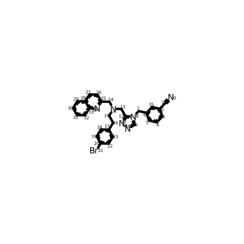 N#Cc1cccc(Cn2cnnc2CN(CCc2ccc(Br)cc2)Cc2ccc3ccccc3n2)c1